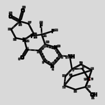 O=C(c1cnc(NC23CCC4(O)CC(CC(C4)C2)C3)nc1C(F)(F)F)N1CCS(=O)(=O)CC1